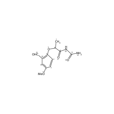 COc1ccc(OC(C)C(=O)NC(N)=O)c(C=O)c1